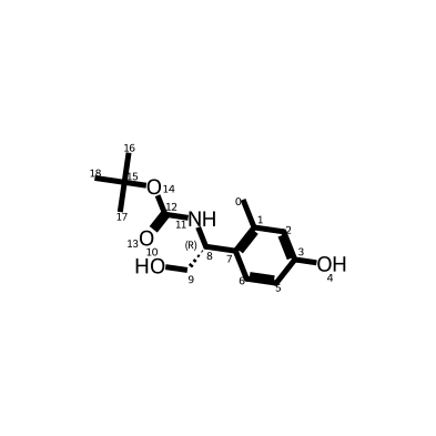 Cc1cc(O)ccc1[C@H](CO)NC(=O)OC(C)(C)C